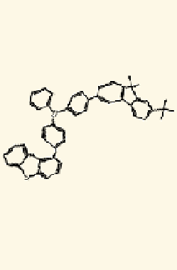 CC(C)(C)c1ccc2c(c1)C(C)(C)c1ccc(-c3ccc(N(c4ccccc4)c4ccc(-c5cccc6sc7ccccc7c56)cc4)cc3)cc1-2